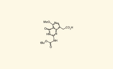 COc1ncc(CC(=O)O)c2nc(NC(=O)OC(C)(C)C)[nH]c(=O)c12